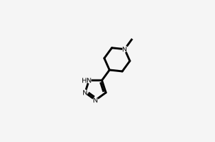 CN1CCC(c2cnn[nH]2)CC1